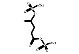 CCCCCCCCS(=O)(=O)OC(=O)CCC(=O)OS(=O)(=O)CCCCCCCC